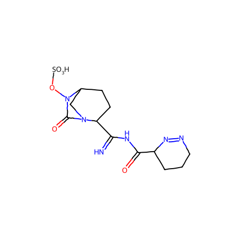 N=C(NC(=O)C1CCCN=N1)C1CCC2CN1C(=O)N2OS(=O)(=O)O